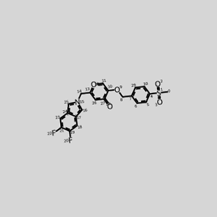 CS(=O)(=O)c1ccc(COc2coc(Cn3cc4cc(F)c(F)cc4c3)cc2=O)cc1